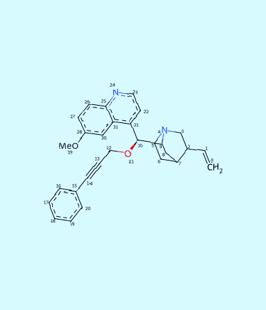 C=CC1CN2CCC1CC2[C@@H](OCC#Cc1ccccc1)c1ccnc2ccc(OC)cc12